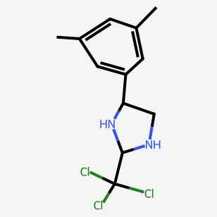 Cc1cc(C)cc(C2CNC(C(Cl)(Cl)Cl)N2)c1